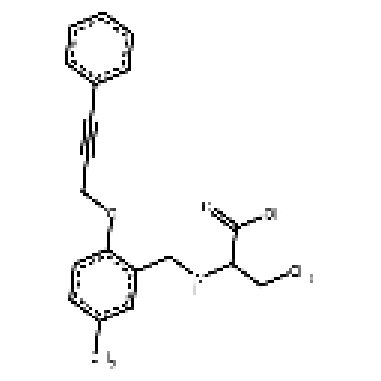 CCC(NCc1cc(C)ccc1OCC#Cc1ccccc1)C(=O)O